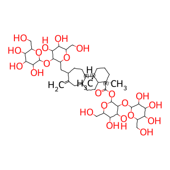 C=C1CC2CCC3[C@](C)(C(=O)OC4OC(CO)C(O)C(O)C4OC4OC(CO)C(O)C(O)C4O)CCC[C@@]3(C)[C@@H]2CCC1CC1OC(CO)C(O)C(O)C1OC1OC(CO)C(O)C(O)C1O